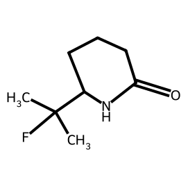 CC(C)(F)C1CCCC(=O)N1